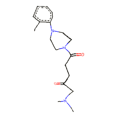 Cc1ccccc1N1CCN(C(=O)CCC(=O)CN(C)C)CC1